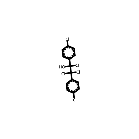 OC(Cl)(c1ccc(Cl)cc1)C(Cl)(Cl)c1ccc(Cl)cc1